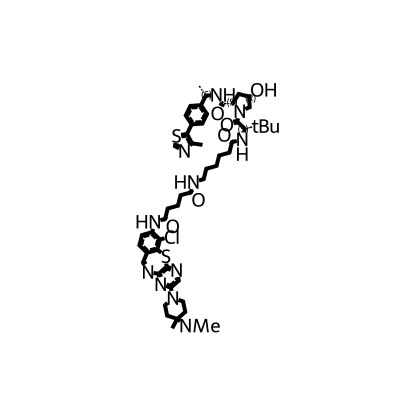 CNC1(C)CCN(c2cnc3c(n2)N=Cc2ccc(NC(=O)CCCC(=O)NCCCCCC(=O)N[C@H](C(=O)N4C[C@H](O)C[C@H]4C(=O)N[C@@H](C)c4ccc(-c5scnc5C)cc4)C(C)(C)C)c(Cl)c2S3)CC1